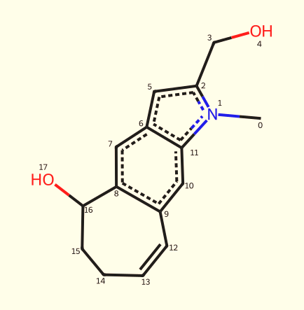 Cn1c(CO)cc2cc3c(cc21)C=CCCC3O